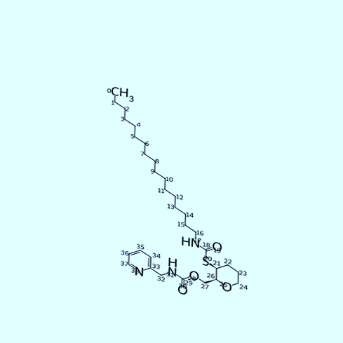 CCCCCCCCCCCCCCCCCNC(=O)S[C@H]1CCCO[C@H]1COC(=O)NCc1ccccn1